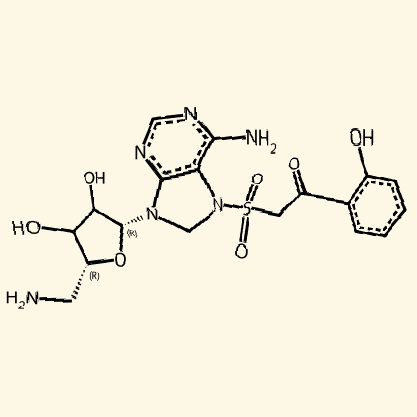 NC[C@H]1O[C@@H](N2CN(S(=O)(=O)CC(=O)c3ccccc3O)c3c(N)ncnc32)C(O)C1O